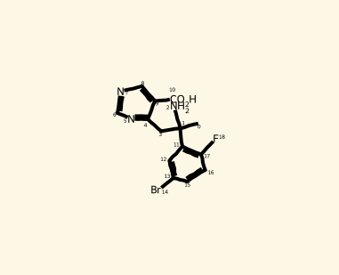 CC(N)(Cc1ncncc1C(=O)O)c1cc(Br)ccc1F